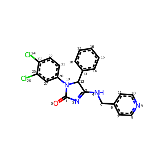 O=C1N=C(NCc2ccncc2)C(c2ccccc2)N1c1ccc(Cl)c(Cl)c1